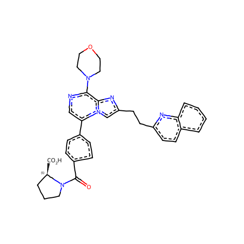 O=C(O)[C@@H]1CCCN1C(=O)c1ccc(-c2cnc(N3CCOCC3)c3nc(CCc4ccc5ccccc5n4)cn23)cc1